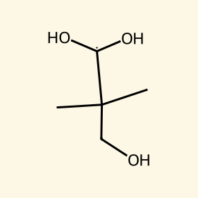 CC(C)(CO)[C](O)O